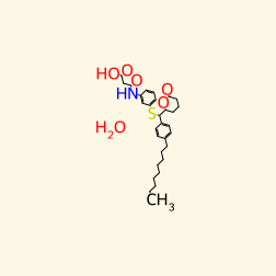 CCCCCCCCCc1ccc(C(Sc2cccc(NC(=O)CC(=O)O)c2)C2CCCC(=O)O2)cc1.O